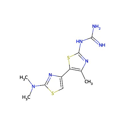 Cc1nc(NC(=N)N)sc1-c1csc(N(C)C)n1